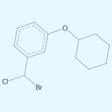 ClC(Br)c1cccc(OC2CCCCC2)c1